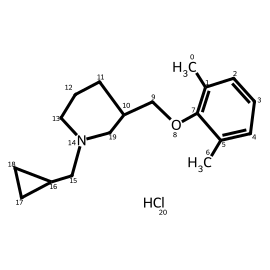 Cc1cccc(C)c1OCC1CCCN(CC2CC2)C1.Cl